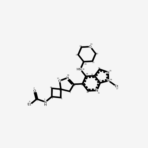 CCC(=O)NC1CC2(CC(c3cnc4c(cnn4CC)c3NC3CCOCC3)=NO2)C1